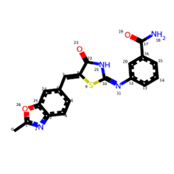 Cc1nc2ccc(/C=C3\S/C(=N/c4cccc(C(N)=O)c4)NC3=O)cc2o1